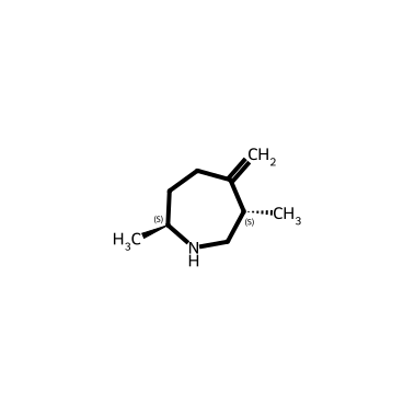 C=C1CC[C@H](C)NC[C@H]1C